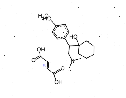 CN(C)CC(c1ccc(O)cc1)C1(O)CCCCC1.O.O=C(O)/C=C/C(=O)O